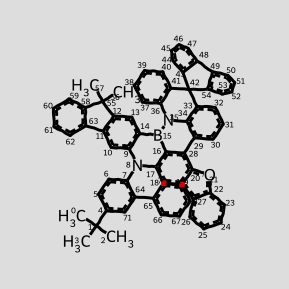 CC(C)(C)c1ccc(N2c3cc4c(cc3B3c5c2cc2c(oc6ccccc62)c5-c2cccc5c2N3c2ccccc2C52c3ccccc3-c3ccccc32)C(C)(C)c2ccccc2-4)c(-c2ccccc2)c1